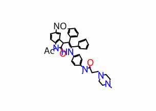 CC(=O)N1C(=O)C(C(=C(Nc2ccc(N(C)C(=O)CCN3CCN(C)CC3)cc2)c2ccccc2)c2ccccc2)c2cc([N+](=O)[O-])ccc21